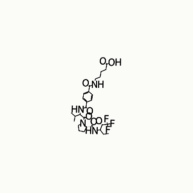 CCC(NC(=O)[C@@H]1CCCN1C(=O)C(NC(=O)c1ccc(C(=O)NCCCCC(=O)O)cc1)C(C)C)C(=O)C(F)(F)F